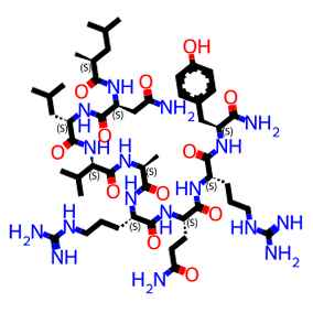 CC(C)C[C@H](NC(=O)[C@H](CC(N)=O)NC(=O)[C@@H](C)CC(C)C)C(=O)N[C@H](C(=O)N[C@@H](C)C(=O)N[C@@H](CCCNC(=N)N)C(=O)N[C@@H](CCC(N)=O)C(=O)N[C@@H](CCCNC(=N)N)C(=O)N[C@@H](Cc1ccc(O)cc1)C(N)=O)C(C)C